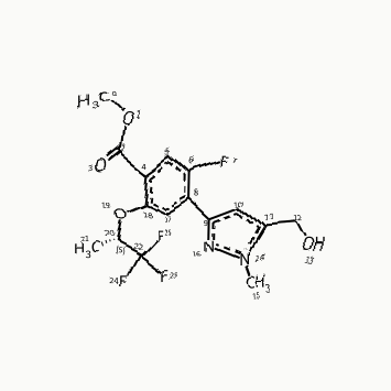 COC(=O)c1cc(F)c(-c2cc(CO)n(C)n2)cc1O[C@@H](C)C(F)(F)F